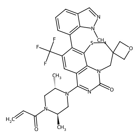 C=CC(=O)N1C[C@H](C)N(c2nc(=O)n3c4c(c(-c5cccc6cnn(C)c56)c(C(F)(F)F)cc24)SCC2(COC2)C3)C[C@H]1C